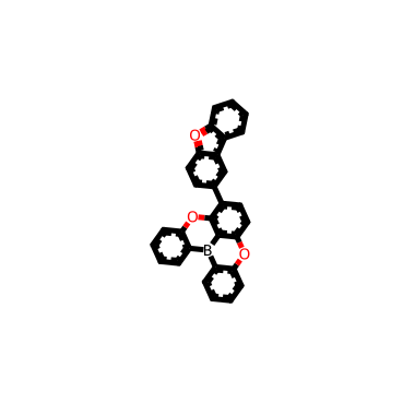 c1ccc2c(c1)Oc1ccc(-c3ccc4oc5ccccc5c4c3)c3c1B2c1ccccc1O3